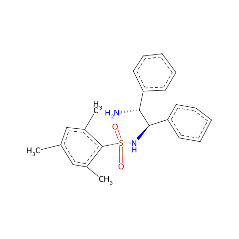 Cc1cc(C)c(S(=O)(=O)N[C@H](c2ccccc2)[C@H](N)c2ccccc2)c(C)c1